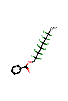 COC(F)(F)C(F)(F)C(F)(F)C(F)(F)C(F)(F)C(F)(F)COC(=O)c1ccccc1